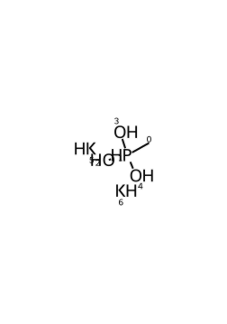 C[PH](O)(O)O.[KH].[KH]